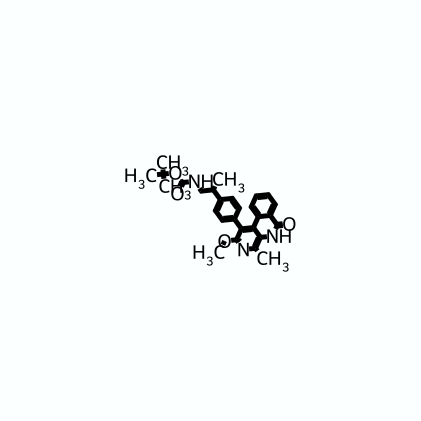 COc1nc(C)c2[nH]c(=O)c3ccccc3c2c1-c1ccc(C(C)CNC(=O)OC(C)(C)C)cc1